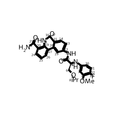 COc1cc(N[C@@H](COC(C)C)C(=O)Nc2ccc3c(=O)[nH]c4c(C(N)=O)cccc4c3c2)ccc1F